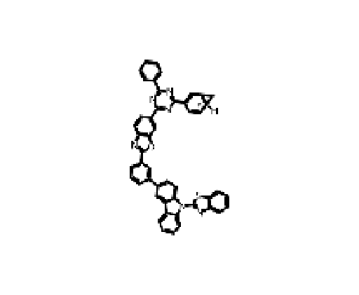 C1=C[C@H]2CC2C=C1c1nc(-c2ccccc2)nc(-c2ccc3nc(-c4cccc(-c5ccc6c(c5)c5ccccc5n6-c5nc6ccccc6s5)c4)oc3c2)n1